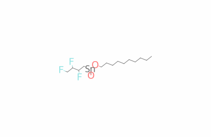 CCCCCCCCCC[O][Sn](=[O])[CH2]C(F)C(F)CF